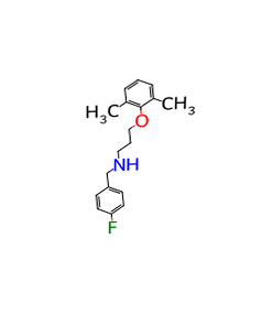 Cc1cccc(C)c1OCCCNCc1ccc(F)cc1